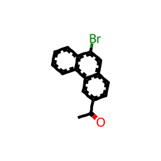 CC(=O)c1ccc2cc(Br)c3ccccc3c2c1